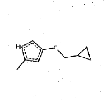 Cc1cc(OCC2CC2)c[nH]1